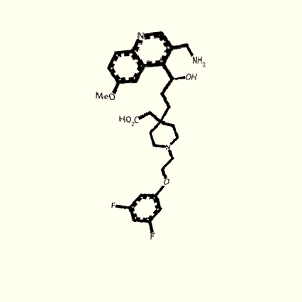 COc1ccc2ncc(CN)c([C@@H](O)CCC3(CC(=O)O)CCN(CCOc4cc(F)cc(F)c4)CC3)c2c1